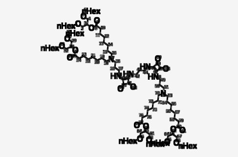 CCCCCCOCC(COCCCCCC)OC(=O)CCCCCCCN(CCCCCCCC(=O)OC(COCCCCCC)COCCCCCC)CCCNc1c(NCCCNc2c(NCCCN(CCCCCCCC(=O)OC(COCCCCCC)COCCCCCC)CCCCCCCC(=O)OC(COCCCCCC)COCCCCCC)c(=O)c2=O)c(=O)c1=O